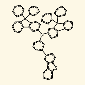 c1ccc(C2(c3ccccc3)c3ccccc3-c3cc(N(c4cccc(-c5ccc6sc7ccccc7c6c5)c4)c4ccc5c(c4)C(c4ccccc4)(c4ccccc4)c4ccccc4-5)ccc32)cc1